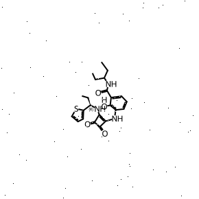 CCC(CC)NC(=O)c1cccc(Nc2c(N[C@H](CC)c3cccs3)c(=O)c2=O)c1O